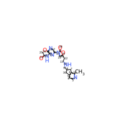 Cc1nccc2c1CC(CNCCc1cn(-c3cnc4c(n3)NC(=O)CO4)c(=O)o1)C2